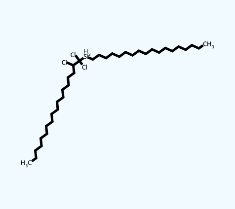 CCCCCCCCCCCCCCCCCC[SiH2]C(Cl)(Cl)C(Cl)CCCCCCCCCCCCCCCC